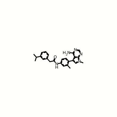 Cc1cc(NC(=O)Cc2cccc(C(C)C)c2)ccc1-c1cn(C)c2ncnc(N)c12